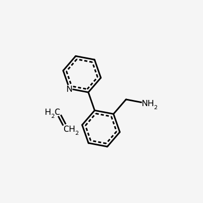 C=C.NCc1ccccc1-c1ccccn1